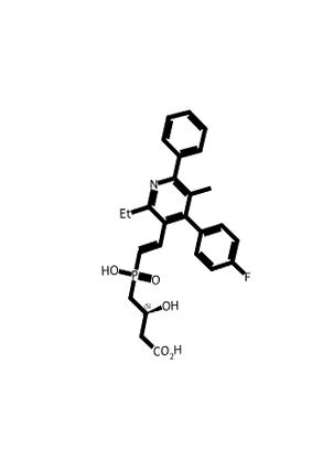 CCc1nc(-c2ccccc2)c(C)c(-c2ccc(F)cc2)c1C=CP(=O)(O)C[C@@H](O)CC(=O)O